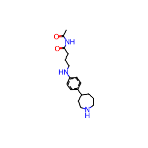 CC(=O)NC(=O)CCCNc1ccc(C2CCCNCC2)cc1